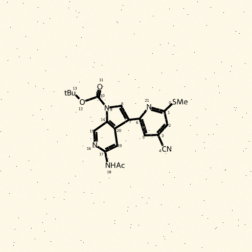 CSc1cc(C#N)cc(-c2cn(C(=O)OC(C)(C)C)c3cnc(NC(C)=O)cc23)n1